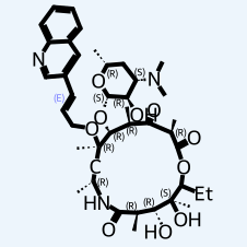 CCC1OC(=O)[C@H](C)C(=O)[C@H](C)[C@@H](O[C@@H]2O[C@H](C)C[C@H](N(C)C)[C@H]2O)[C@](C)(OC/C=C/c2cnc3ccccc3c2)C[C@@H](C)NC(=O)[C@H](C)[C@@H](O)[C@]1(C)O